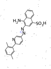 Cc1ccc(C)c(-c2ccc(/N=N/c3cc(S(=O)(=O)O)c4ccccc4c3N)cn2)c1